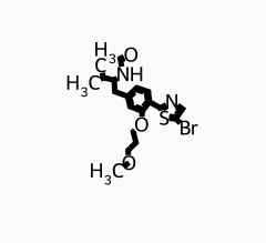 COCCCOc1cc(CC(NC=O)C(C)C)ccc1-c1ncc(Br)s1